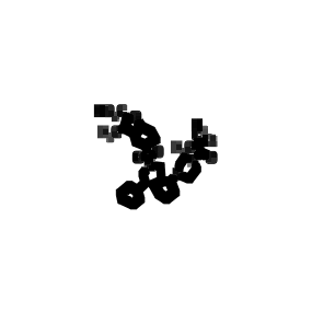 CCC(C)(C)C(=O)N1CCN(c2ccccc2CN(CCc2ccccc2)S(=O)(=O)c2ccc3oc(C(=O)O)c(C)c3c2)CC1